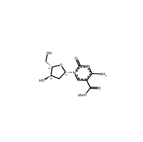 COC(=O)c1cn([C@@H]2C[C@@H](O)[C@H](CO)O2)c(=O)nc1N